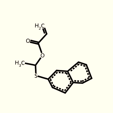 C=CC(=O)OC(C)Sc1ccc2ccccc2c1